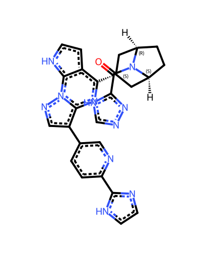 O=C(c1nnc[nH]1)N1[C@@H]2CC[C@H]1C[C@H](c1nc3c(-c4ccc(-c5ncc[nH]5)nc4)cnn3c3[nH]ccc13)C2